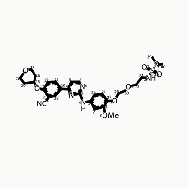 COc1cc(Nc2nccc(-c3ccc(OC4CCOCC4)c(C#N)c3)n2)ccc1OCCOCCNS(=O)(=O)N(C)C